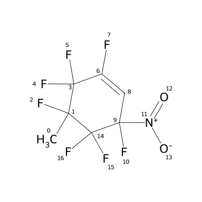 CC1(F)C(F)(F)C(F)=CC(F)([N+](=O)[O-])C1(F)F